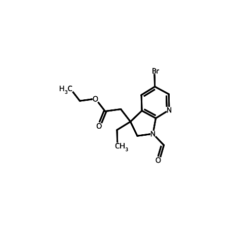 CCOC(=O)CC1(CC)CN(C=O)c2ncc(Br)cc21